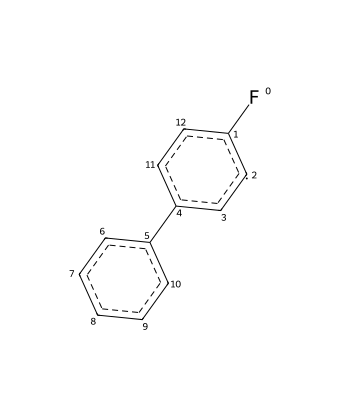 Fc1[c]cc(-c2ccccc2)cc1